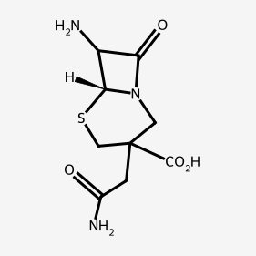 NC(=O)CC1(C(=O)O)CS[C@@H]2C(N)C(=O)N2C1